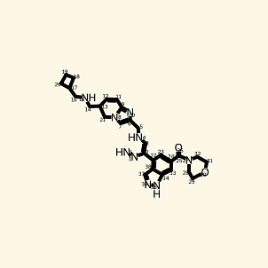 N=N/C(=C\NCc1cn2c(n1)C=CC(CNCC1CCC1)C2)c1cc(C(=O)N2CCOCC2)cc2[nH]ncc12